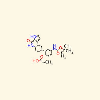 CC(C)(C)OC(=O)Nc1cccc(-c2ccc3[nH]c(=O)c4[nH]ccc4c3c2)c1.CCC(=O)O